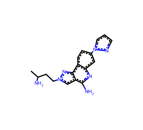 CC(N)CCn1cc2c(N)nc3cc(-n4cccn4)ccc3c2n1